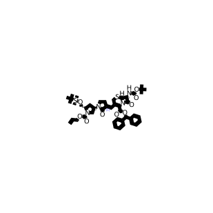 C=CCOC(=O)N1C[C@H](N2CC/C(=C\C3=C(C(=O)OC(c4ccccc4)c4ccccc4)N4C(=O)[C@@H](NC(=O)OC(C)(C)C)[C@H]4SC3)C2=O)C[C@H]1CO[Si](C)(C)C(C)(C)C